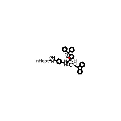 CCCCCCCc1nc(-c2ccc(CNC(=O)C(CCOC(c3ccccc3)(c3ccccc3)c3ccccc3)NC(=O)OCC3c4ccccc4-c4ccccc43)cc2)no1